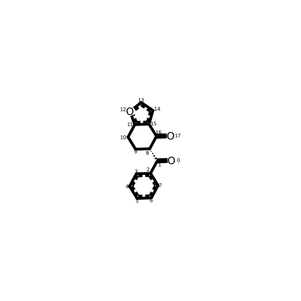 O=C(c1ccccc1)[C@@H]1CCc2occc2C1=O